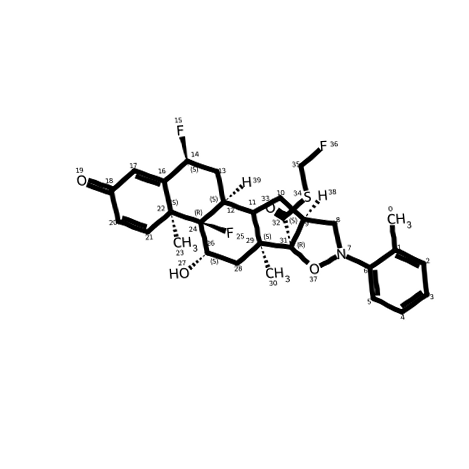 Cc1ccccc1N1C[C@@H]2CC3[C@@H]4C[C@H](F)C5=CC(=O)C=C[C@]5(C)[C@@]4(F)[C@@H](O)C[C@]3(C)[C@]2(C(=O)SCF)O1